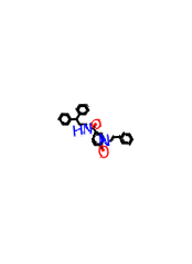 O=C(NCCC(c1ccccc1)c1ccccc1)c1ccc(=O)n(CCc2ccccc2)c1